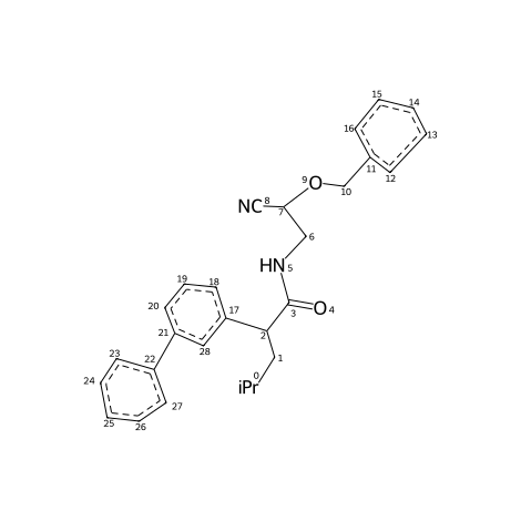 CC(C)CC(C(=O)NCC(C#N)OCc1ccccc1)c1cccc(-c2ccccc2)c1